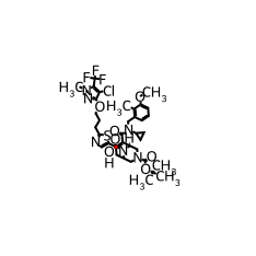 COc1cccc(CN(C(=O)C2=C(c3cnc(CCCOc4nn(C)c(C(F)(F)F)c4Cl)s3)CC3CN(C(=O)OC(C)(C)C)C[C@H]2N3C(=O)O)C2CC2)c1C